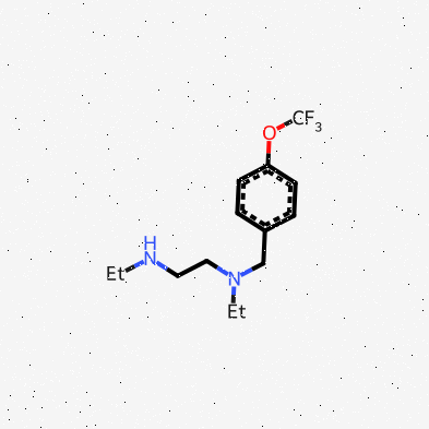 CCNCCN(CC)Cc1ccc(OC(F)(F)F)cc1